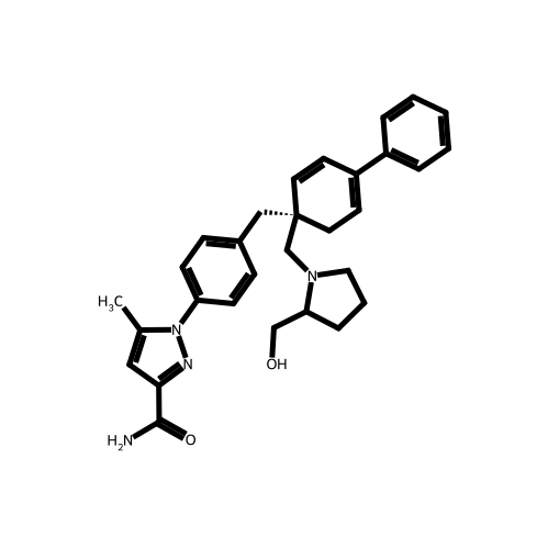 Cc1cc(C(N)=O)nn1-c1ccc(C[C@]2(CN3CCCC3CO)C=CC(c3ccccc3)=CC2)cc1